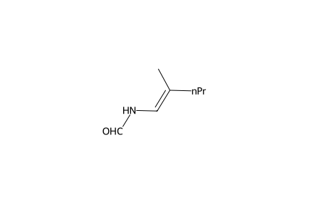 CCCC(C)=CNC=O